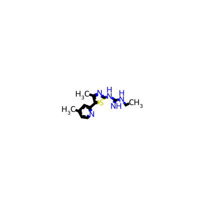 CCNC(=N)Nc1nc(C)c(-c2cc(C)ccn2)s1